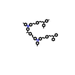 Cc1ccc(C(=C/C=C/c2ccc(C=Cc3ccc(N(c4ccc(C)cc4)c4ccc(C(C)c5ccc(C=Cc6ccc(N(c7ccc(C)cc7)c7ccc(/C=C/c8ccc(C=CC=C(c9ccccc9)c9ccccc9)cc8)cc7)cc6)cc5)cc4)cc3)cc2)c2ccc(C)cc2)cc1